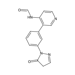 O=CNc1ccncc1-c1cccc(N2N=CCC2=O)c1